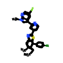 Cc1cc2nc(-c3ccnc(-c4cn(C)c5ncc(F)cc45)c3)sc2c(-c2ccc(Cl)cc2)c1CC(=O)O